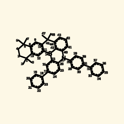 CC1(C)CCC(C)(C)c2cc3c(cc21)B1c2cc(-c4ccccc4)ccc2N(c2ccc(-c4ccccc4)cc2)c2cccc(c21)C3(C)C